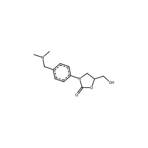 CN(C)Cc1ccc(N2CC(CO)OC2=O)cc1